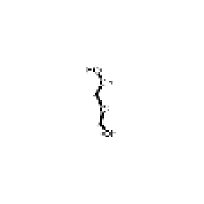 OCOCOO